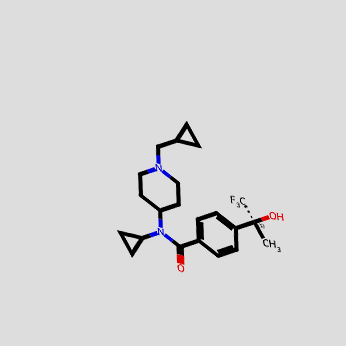 C[C@](O)(c1ccc(C(=O)N(C2CC2)C2CCN(CC3CC3)CC2)cc1)C(F)(F)F